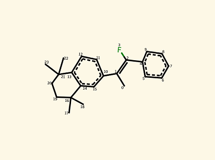 CC(=C(F)c1ccccc1)c1ccc2c(c1)C(C)(C)CCC2(C)C